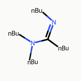 CCCCN=C(CCCC)N(CCCC)CCCC